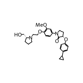 COc1cc(N2CC[C@H](Oc3ccc(C4CC4)cc3)C2=O)ccc1OCCN1CCC[C@@H]1CO